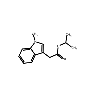 CC(C)OC(=N)Cc1cn(C)c2ccccc12